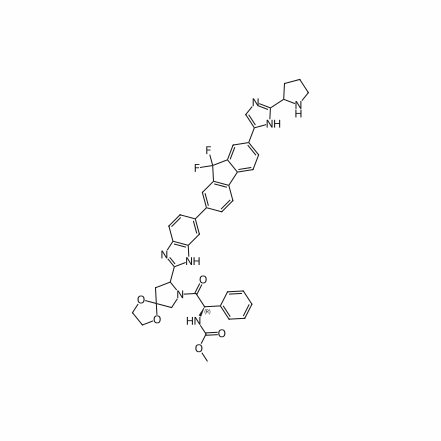 COC(=O)N[C@@H](C(=O)N1CC2(CC1c1nc3ccc(-c4ccc5c(c4)C(F)(F)c4cc(-c6cnc(C7CCCN7)[nH]6)ccc4-5)cc3[nH]1)OCCO2)c1ccccc1